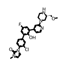 COC[C@@H]1CN(c2cc(-c3cc(F)cc(-c4ccc(-n5ccn(C)c5=O)c(Cl)c4)c3O)ccn2)CCN1